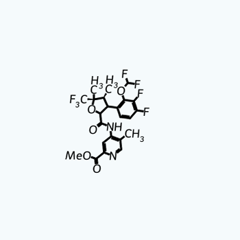 COC(=O)c1cc(NC(=O)C2O[C@@](C)(C(F)(F)F)[C@@H](C)C2c2ccc(F)c(F)c2OC(F)F)c(C)cn1